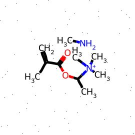 C=C(C)C(=O)OC(C)[N+](C)(C)C.CN